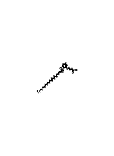 CCSCCCCCCCCCCCCCCCCC(=O)Nc1ccccc1SCCCC(=O)O